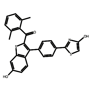 Cc1cccc(C)c1C(=O)c1sc2cc(O)ccc2c1-c1ccc(-c2nc(O)cs2)cc1